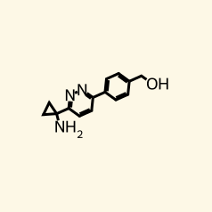 NC1(c2ccc(-c3ccc(CO)cc3)nn2)CC1